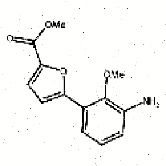 COC(=O)c1ccc(-c2cccc(N)c2OC)o1